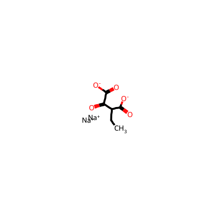 CCC(C(=O)[O-])C(=O)C(=O)[O-].[Na+].[Na+]